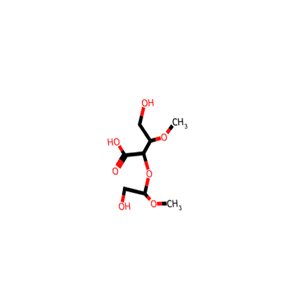 COC(CO)OC(C(=O)O)C(CO)OC